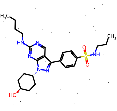 CCCCNc1ncc2c(-c3ccc(S(=O)(=O)NCCC)cc3)nn([C@H]3CC[C@H](O)CC3)c2n1